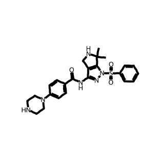 CC1(C)NCc2c(NC(=O)c3ccc(N4CCNCC4)cc3)nn(S(=O)(=O)c3ccccc3)c21